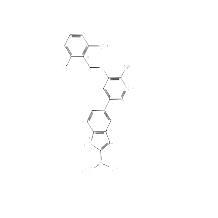 CN(C)c1cc2cc(-c3cnc(N)c(OCc4c(Cl)cccc4Cl)c3)ccc2[nH]1